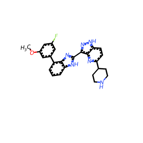 COc1cc(F)cc(-c2cccc3[nH]c(-c4n[nH]c5ccc(C6CCNCC6)nc45)nc23)c1